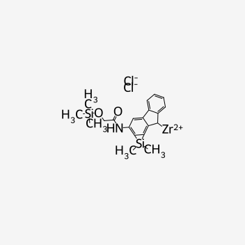 C[Si](C)(C)OCC(=O)Nc1cc2c(c3c1[Si]3(C)C)[CH]([Zr+2])c1ccccc1-2.[Cl-].[Cl-]